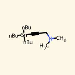 CCC[CH2][Sn]([C]#CCN(C)C)([CH2]CCC)[CH2]CCC